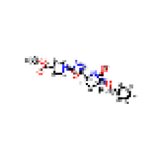 CC(C)(C)OC(=O)C1CCN(c2nnc([C@@H]3CC[C@@H]4CN3C(=O)N4OCc3ccccc3)o2)CC1